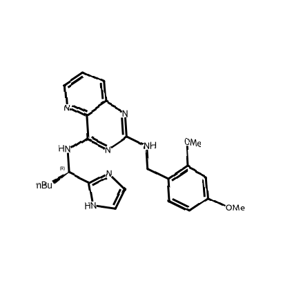 CCCC[C@@H](Nc1nc(NCc2ccc(OC)cc2OC)nc2cccnc12)c1ncc[nH]1